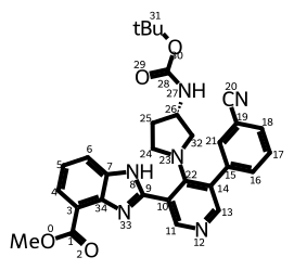 COC(=O)c1cccc2[nH]c(-c3cncc(-c4cccc(C#N)c4)c3N3CC[C@H](NC(=O)OC(C)(C)C)C3)nc12